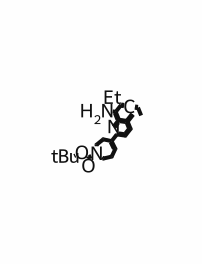 C=c1ccc(C2=CCCN(C(=O)OC(C)(C)C)CC2)n/c1=C(\N)C(=C=CC)CC